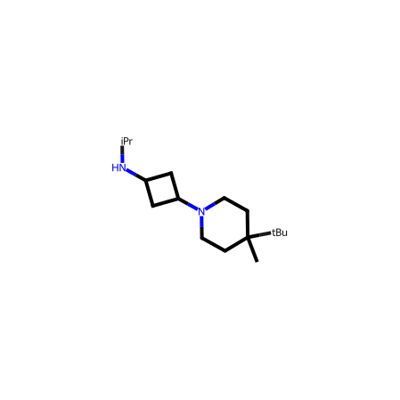 CC(C)NC1CC(N2CCC(C)(C(C)(C)C)CC2)C1